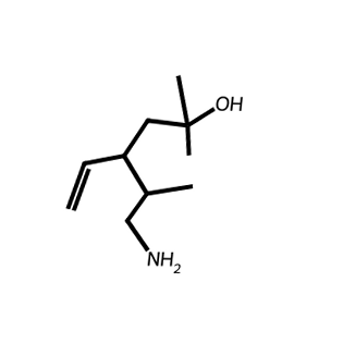 C=CC(CC(C)(C)O)C(C)CN